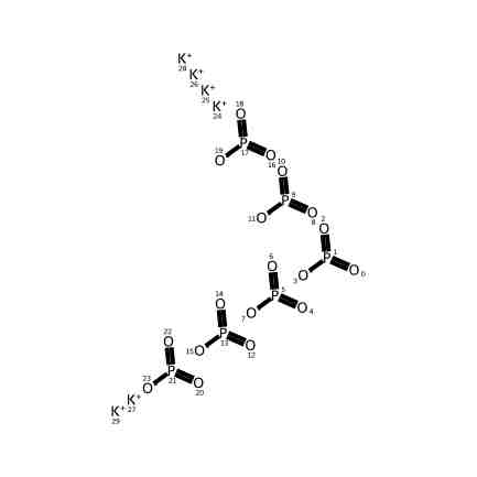 O=P(=O)[O-].O=P(=O)[O-].O=P(=O)[O-].O=P(=O)[O-].O=P(=O)[O-].O=P(=O)[O-].[K+].[K+].[K+].[K+].[K+].[K+]